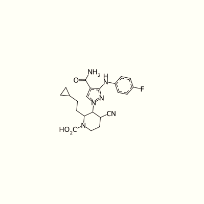 N#CC1CCN(C(=O)O)C(CCC2CC2)C1n1cc(C(N)=O)c(Nc2ccc(F)cc2)n1